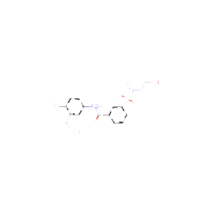 CN(CCO)S(=O)(=O)c1cccc(C(=O)Nc2ccc(F)c(CO)c2)c1